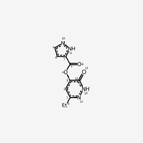 CCc1cc(OC(=O)c2ccn[nH]2)c(=O)[nH]n1